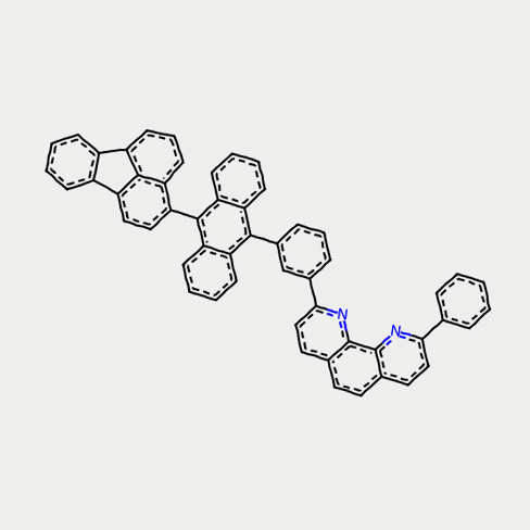 c1ccc(-c2ccc3ccc4ccc(-c5cccc(-c6c7ccccc7c(-c7ccc8c9c(cccc79)-c7ccccc7-8)c7ccccc67)c5)nc4c3n2)cc1